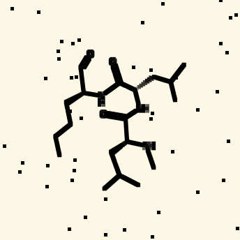 CCCC[C@@H](C=O)NC(=O)[C@H](CC(C)C)NC(=O)[C@H](CC(C)C)NC